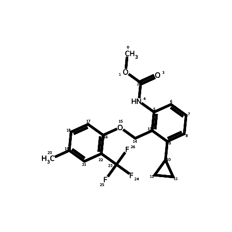 COC(=O)Nc1cccc(C2CC2)c1COc1ccc(C)cc1C(F)(F)F